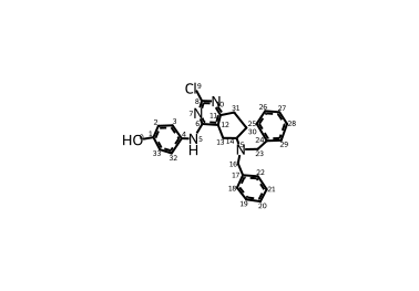 Oc1ccc(Nc2nc(Cl)nc3c2CC(N(Cc2ccccc2)Cc2ccccc2)CC3)cc1